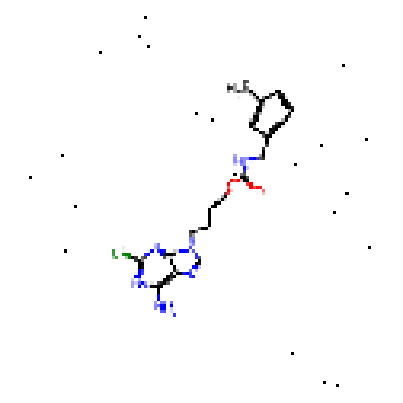 Bc1cccc(CNC(=O)OCCCCn2cnc3c(N)nc(Cl)nc32)c1